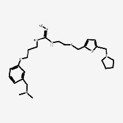 CN(C)Cc1cccc(OCCCN/C(=N\C#N)NCCSCc2ccc(CN3CCCC3)o2)c1